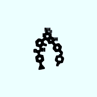 Cc1c(NC(=O)c2ccc(C3CC3)cc2)cccc1-c1nc(N)nc2[nH]c(-c3ccc(CN4CCN(C)CC4)cc3)cc12